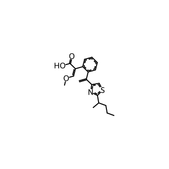 C=C(c1csc(C(C)CCC)n1)c1ccccc1C(=COC)C(=O)O